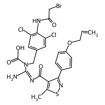 C=CCOc1ccc(-c2nsc(C)c2C(=O)N=C(N)N(Cc2cc(Cl)c(NC(=O)CBr)c(Cl)c2)C(=O)O)cc1